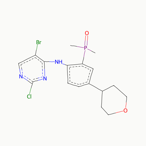 CP(C)(=O)c1cc(C2CCOCC2)ccc1Nc1nc(Cl)ncc1Br